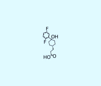 O=C(O)CC[C@H]1CC[C@](O)(c2cc(F)ccc2F)CC1